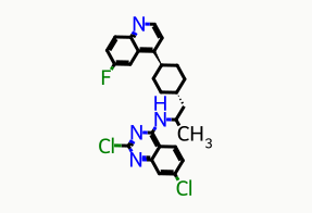 CC(C[C@H]1CC[C@H](c2ccnc3ccc(F)cc32)CC1)Nc1nc(Cl)nc2cc(Cl)ccc12